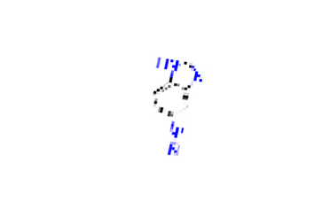 N#[N+]c1ccc2[nH]cnc2c1